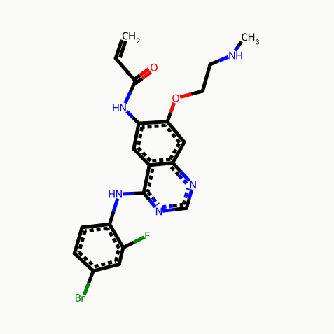 C=CC(=O)Nc1cc2c(Nc3ccc(Br)cc3F)ncnc2cc1OCCNC